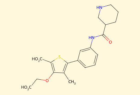 Cc1c(-c2cccc(NC(=O)C3CCCNC3)c2)sc(C(=O)O)c1OCC(=O)O